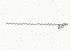 CCCCCCCCCCCCCCCCCCCCCCCCCCCCCCCCCCNCC(=O)O